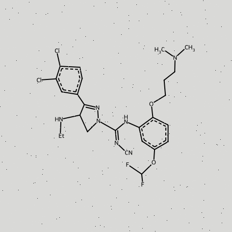 CCNC1CN(/C(=N/C#N)Nc2cc(OC(F)F)ccc2OCCCN(C)C)N=C1c1ccc(Cl)c(Cl)c1